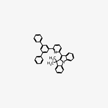 CC1(C)c2ccccc2-n2c1c(-c1cccc(-c3cc(-c4ccccc4)cc(-c4ccccc4)c3)n1)c1ccccc12